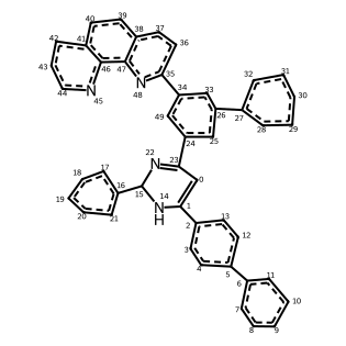 C1=C(c2ccc(-c3ccccc3)cc2)NC(c2ccccc2)N=C1c1cc(-c2ccccc2)cc(-c2ccc3ccc4cccnc4c3n2)c1